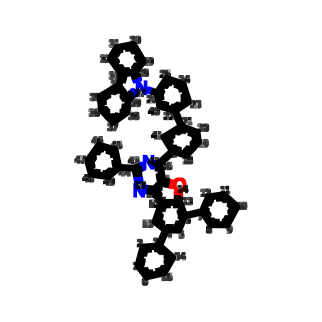 c1ccc(-c2cc(-c3ccccc3)c3oc4c(-c5cccc(-c6cccc(-n7c8ccccc8c8ccccc87)c6)c5)nc(-c5ccccc5)nc4c3c2)cc1